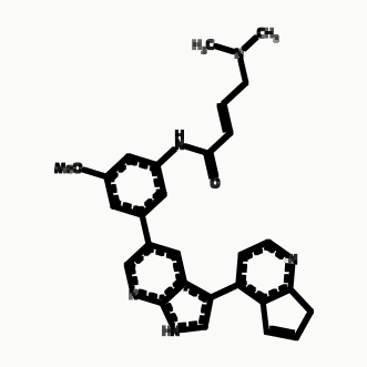 COc1cc(NC(=O)/C=C/CN(C)C)cc(-c2cnc3[nH]cc(-c4ccnc5c4C=CC5)c3c2)c1